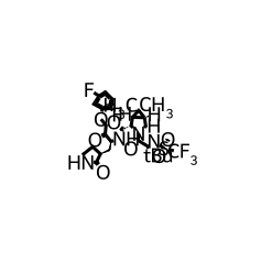 CC(C)(C)[C@H](NS(=O)(=O)C(F)(F)F)C(=O)N1C[C@H]2[C@@H]([C@H]1C(=O)N[C@@H](C[C@@H]1CCNC1=O)C(=O)COc1cc(F)ccc1F)C2(C)C